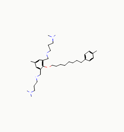 Cc1ccc(CCCCCCCCOc2c(CNCCCN(C)C)cc(C)cc2CNCCCN(C)C)cc1